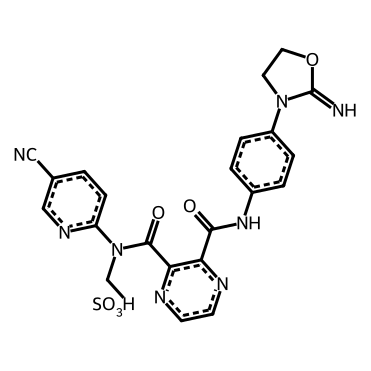 N#Cc1ccc(N(CS(=O)(=O)O)C(=O)c2nccnc2C(=O)Nc2ccc(N3CCOC3=N)cc2)nc1